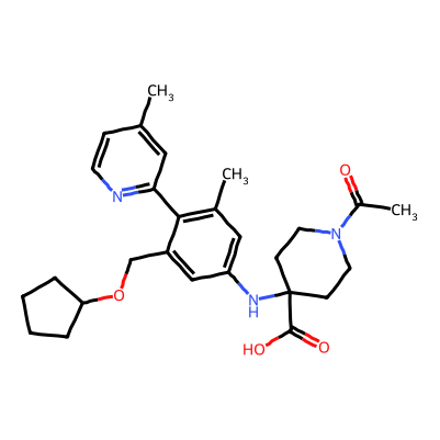 CC(=O)N1CCC(Nc2cc(C)c(-c3cc(C)ccn3)c(COC3CCCC3)c2)(C(=O)O)CC1